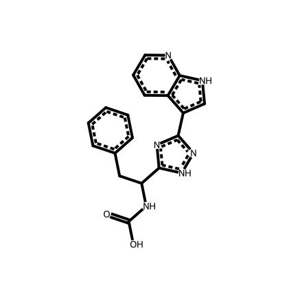 O=C(O)NC(Cc1ccccc1)c1nc(-c2c[nH]c3ncccc23)n[nH]1